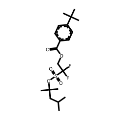 CC(C)CC(C)(C)OS(=O)(=O)C(F)(F)COC(=O)c1ccc(C(C)(C)C)cc1